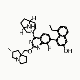 CCc1cccc2cc(O)cc(-c3ccc4c(N5CC[C@H]6CC[C@@H](C5)N6)nc(OC[C@@]56CCCN5C[C@H](C)C6)nc4c3F)c12